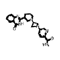 CNC(=O)c1ccc(N2CC(N3CCCC(c4nc5ccccc5c(=O)[nH]4)C3)C2)cn1